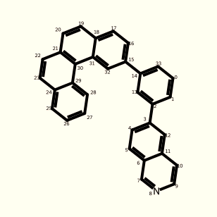 c1cc(-c2ccc3cnccc3c2)cc(-c2ccc3ccc4ccc5ccccc5c4c3c2)c1